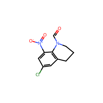 O=CN1CCCc2cc(Cl)cc([N+](=O)[O-])c21